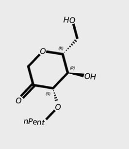 CCCCCO[C@@H]1C(=O)CO[C@H](CO)[C@H]1O